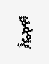 CC(=O)NCC1CN(c2cc(F)c(N3CCC(NC(=O)N(C)C)C3)c(F)c2)C(=O)O1